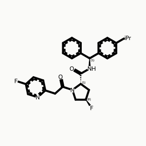 CC(C)c1ccc([C@@H](NC(=O)[C@@H]2C[C@@H](F)CN2C(=O)Cc2ccc(F)cn2)c2ccccc2)cc1